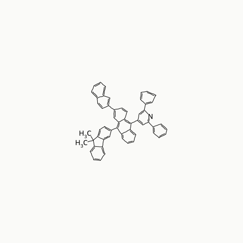 CC1(C)c2ccccc2-c2cc(-c3c4ccccc4c(-c4cc(-c5ccccc5)nc(-c5ccccc5)c4)c4ccc(-c5ccc6ccccc6c5)cc34)ccc21